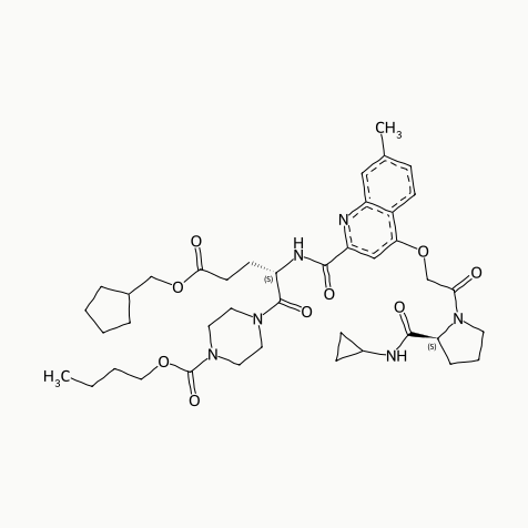 CCCCOC(=O)N1CCN(C(=O)[C@H](CCC(=O)OCC2CCCC2)NC(=O)c2cc(OCC(=O)N3CCC[C@H]3C(=O)NC3CC3)c3ccc(C)cc3n2)CC1